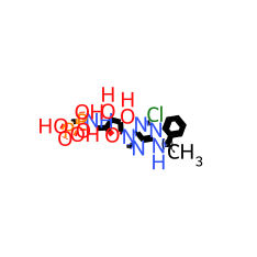 C[C@H](Nc1nc(Cl)nc2c1ncn2C1OC(CNP(=O)(O)CP(=O)(O)O)C(O)C1O)c1ccccc1